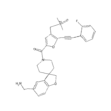 C[SH](C)(=O)Cc1cc(C(=O)N2CCC3(CC2)COc2ccc(CN)cc23)oc1C#Cc1ccccc1F